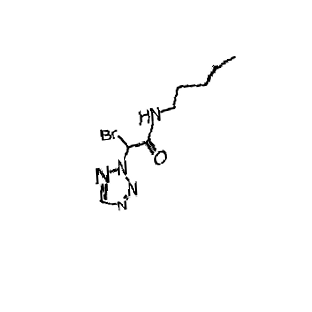 CCCCCNC(=O)C(Br)n1ncnn1